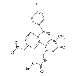 CC[S+]([O-])Cc1ccc(C(=O)c2ccc(F)cc2)c(-c2cn(C)c(=O)cc2CNC(=O)OC(C)(C)C)c1